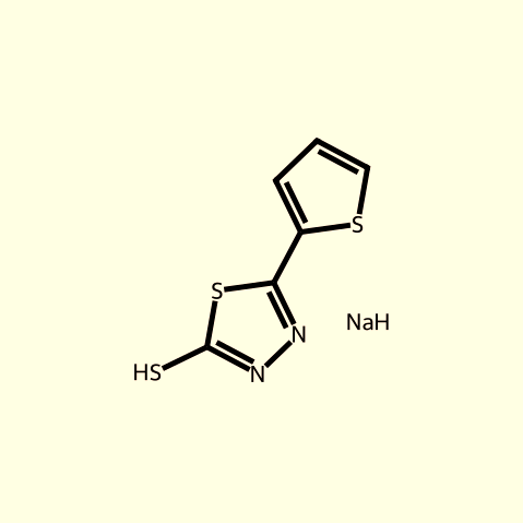 Sc1nnc(-c2cccs2)s1.[NaH]